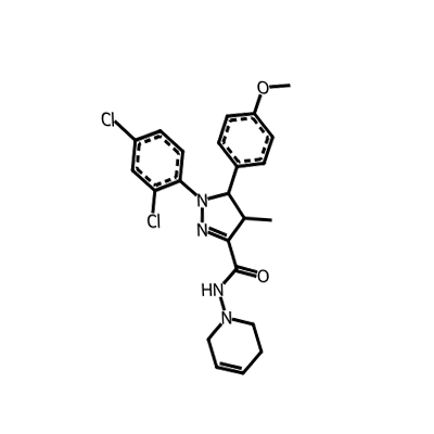 COc1ccc(C2C(C)C(C(=O)NN3CC=CCC3)=NN2c2ccc(Cl)cc2Cl)cc1